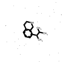 CC(C)C(C)c1cccc2c1CNCC2